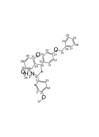 COc1ccc(C(N)CC(c2ccc(OCc3ccccc3)cc2)c2cc(OC)ccc2Cl)cc1